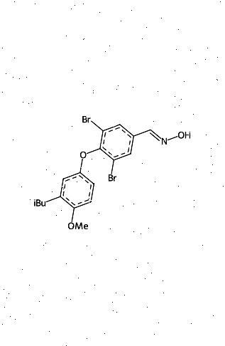 CCC(C)c1cc(Oc2c(Br)cc(C=NO)cc2Br)ccc1OC